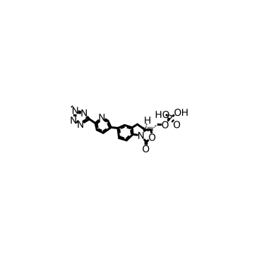 Cn1nnc(-c2ccc(-c3ccc4c(c3)C[C@H]3[C@H](COP(=O)(O)O)OC(=O)N43)cn2)n1